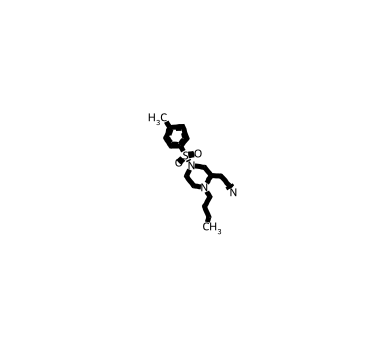 CCCCN1CCN(S(=O)(=O)c2ccc(C)cc2)CC1CC#N